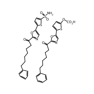 NS(=O)(=O)c1ccc(-c2cnc(C(=O)CCCCCCc3ccccc3)o2)s1.O=C(O)Oc1ccc(-c2cnc(C(=O)CCCCCCc3ccccc3)o2)s1